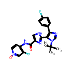 CC(C)(C)n1cnc(-c2ccc(F)cc2)c1-c1nc(C(=O)Nc2cc[n+]([O-])cc2F)c[nH]1